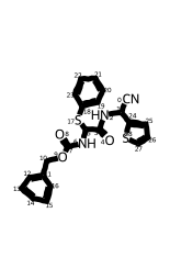 N#CC(NC(=O)C(NC(=O)OCc1ccccc1)Sc1ccccc1)c1cccs1